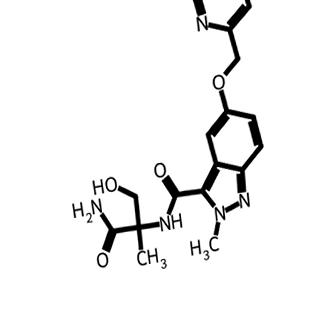 Cn1nc2ccc(OCc3ccccn3)cc2c1C(=O)NC(C)(CO)C(N)=O